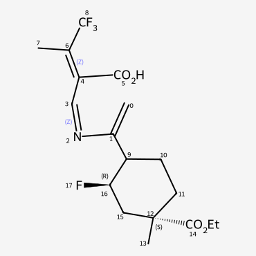 C=C(/N=C\C(C(=O)O)=C(/C)C(F)(F)F)C1CC[C@](C)(C(=O)OCC)C[C@H]1F